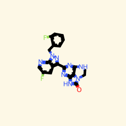 O=c1[nH]c2nc(-c3nn(Cc4ccccc4F)c4ncc(F)cc34)nc3c2n1CCN3